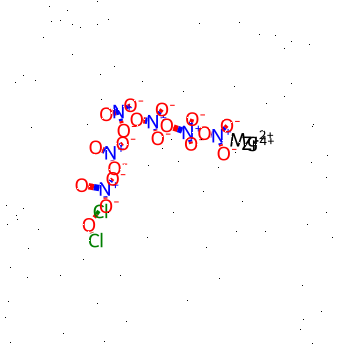 ClOCl.O=[N+]([O-])[O-].O=[N+]([O-])[O-].O=[N+]([O-])[O-].O=[N+]([O-])[O-].O=[N+]([O-])[O-].O=[N+]([O-])[O-].[Mg+2].[Zr+4]